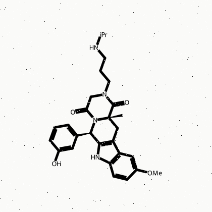 COc1ccc2[nH]c3c(c2c1)C[C@@]1(C)C(=O)N(CCCNC(C)C)CC(=O)N1[C@@H]3c1cccc(O)c1